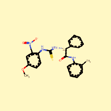 COc1ccc(NC(=S)N[C@@H](C(=O)Nc2ccccc2C)c2ccccc2)c([N+](=O)[O-])c1